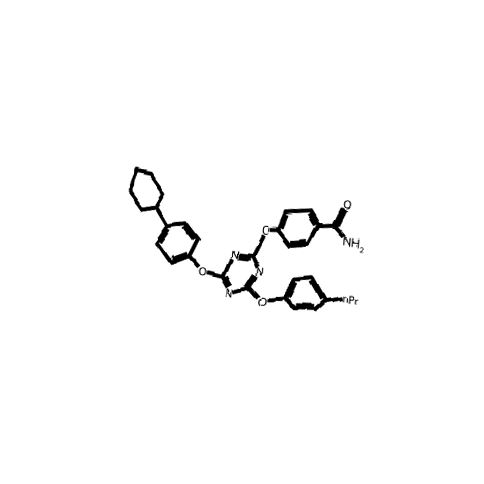 CCCc1ccc(Oc2nc(Oc3ccc(C(N)=O)cc3)nc(Oc3ccc(C4CCCCC4)cc3)n2)cc1